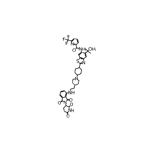 CC(C)(O)c1cc2nc(C3CCC(N4CCC(CCNc5cccc6c5C(=O)N(C5CCC(=O)NC5=O)C6=O)CC4)CC3)sc2cc1NC(=O)c1cccc(C(F)(F)F)n1